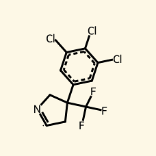 FC(F)(F)C1(c2cc(Cl)c(Cl)c(Cl)c2)C[C]=NC1